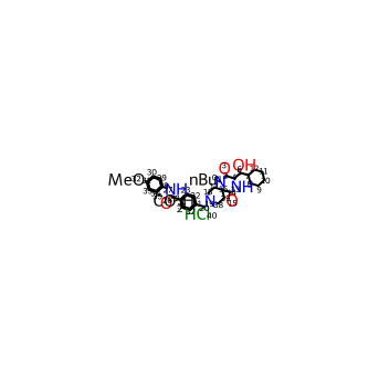 CCCCN1C(=O)[C@@H]([C@H](O)C2CCCCC2)NC(=O)C12CCN(Cc1ccc(C(=O)Nc3ccc(OC)cc3C(=O)O)cc1)CC2.Cl